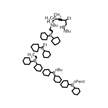 C=CB(C1CCCCC1)C1CCCCC1.CCB(C1CCCCC1)C1CCCCC1.CCCCB(C1CCCCC1)C1CCCCC1.CCCCBCC(C#C[Si](C)(C)C)CC.CCCCC=CB(C1CCCCC1)C1CCCCC1.CCCCCB(C1CCCCC1)C1CCCCC1